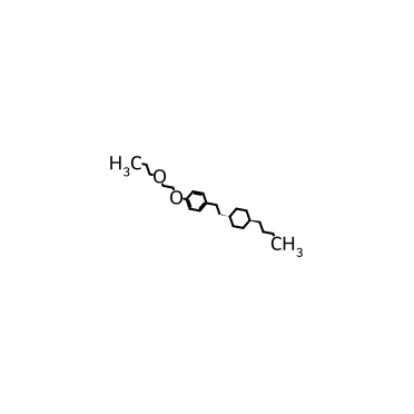 CCCC[C@H]1CC[C@H](CCc2ccc(OCCOCCC)cc2)CC1